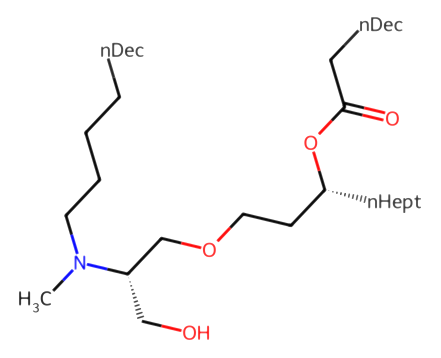 CCCCCCCCCCCCCCN(C)[C@@H](CO)COCC[C@@H](CCCCCCC)OC(=O)CCCCCCCCCCC